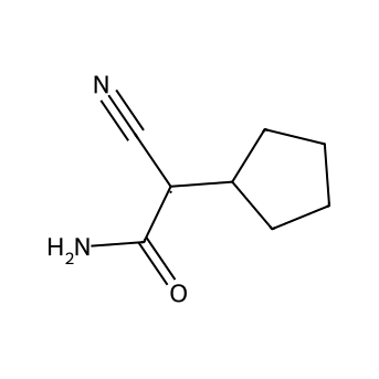 N#C[C](C(N)=O)C1CCCC1